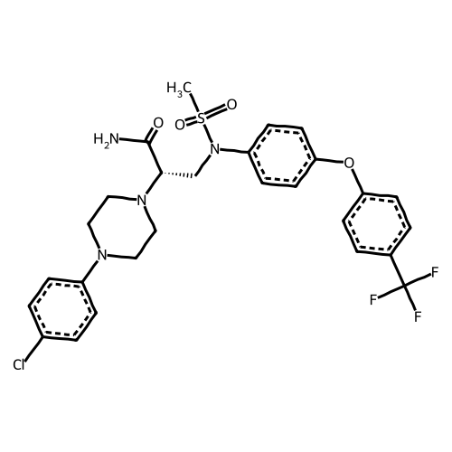 CS(=O)(=O)N(C[C@@H](C(N)=O)N1CCN(c2ccc(Cl)cc2)CC1)c1ccc(Oc2ccc(C(F)(F)F)cc2)cc1